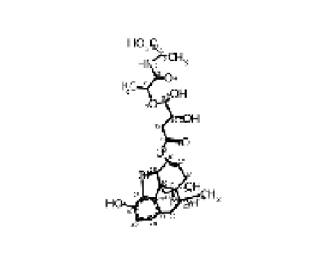 C[C@H](NC(=O)[C@H](C)OC(O)[C@@H](O)CC(=O)OC1=CC[C@@]2(O)[C@H]3Cc4ccc(O)c5c4C2(CCN3C)[C@H]1O5)C(=O)O